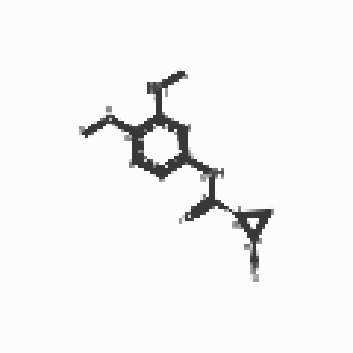 CNc1cc(NC(=O)[C@@H]2C[C@H]2F)ccc1OC